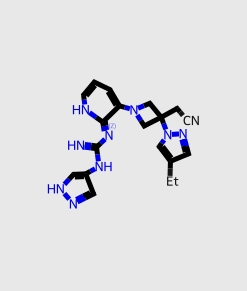 CCc1cnn(C2(CC#N)CN(c3ccc[nH]/c3=N\C(=N)Nc3cn[nH]c3)C2)c1